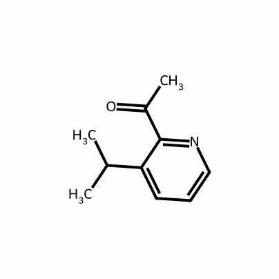 CC(=O)c1ncccc1C(C)C